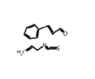 C=CCN=C=S.O=CC=Cc1ccccc1